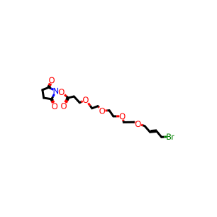 O=C(CCOCCOCCOCCOC/C=C/CBr)ON1C(=O)CCC1=O